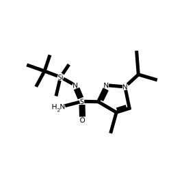 Cc1cn(C(C)C)nc1S(N)(=O)=N[Si](C)(C)C(C)(C)C